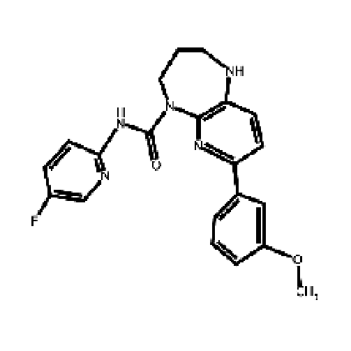 COc1cccc(-c2ccc3c(n2)N(C(=O)Nc2ccc(F)cn2)CCCN3)c1